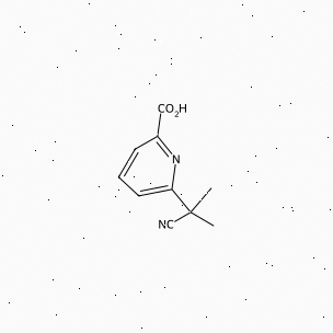 CC(C)(C#N)c1cccc(C(=O)O)n1